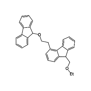 CCOCC1c2ccccc2-c2c(CCOC3c4ccccc4-c4ccccc43)cccc21